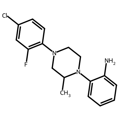 CC1CN(c2ccc(Cl)cc2F)CCN1c1ccccc1N